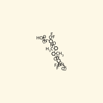 Cc1c(-c2nc3cc(CNC[C@H]4CCCO4)c(OC(F)F)cc3o2)cccc1-c1cccc(-c2nc3cc(CN4CCC[C@H]4C(=O)O)c(OC(F)F)cc3o2)c1C